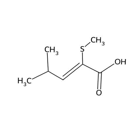 CS/C(=C\C(C)C)C(=O)O